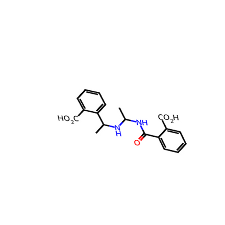 CC(NC(=O)c1ccccc1C(=O)O)NC(C)c1ccccc1C(=O)O